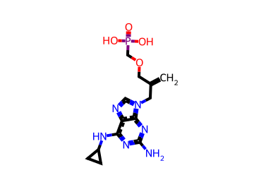 C=C(COCP(=O)(O)O)Cn1cnc2c(NC3CC3)nc(N)nc21